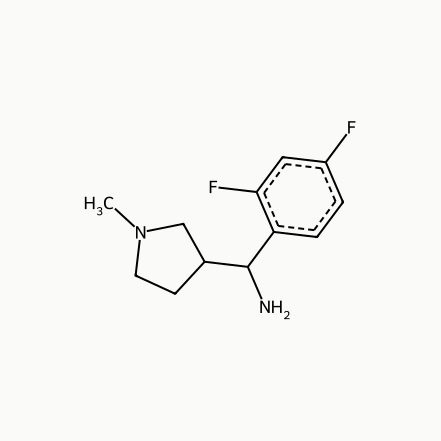 CN1CCC(C(N)c2ccc(F)cc2F)C1